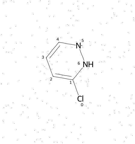 ClC1=CC=C[N]N1